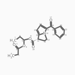 CCC(=O)OC(CC)OC(=O)[C@H]1CCn2c(C(=O)c3ccccc3)ccc21